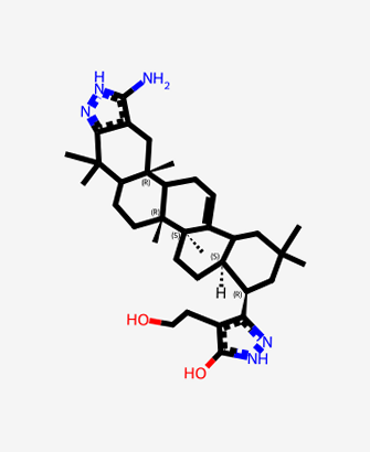 CC1(C)CC2C3=CCC4[C@@]5(C)Cc6c(n[nH]c6N)C(C)(C)C5CC[C@@]4(C)[C@]3(C)CC[C@@H]2[C@H](c2n[nH]c(O)c2CCO)C1